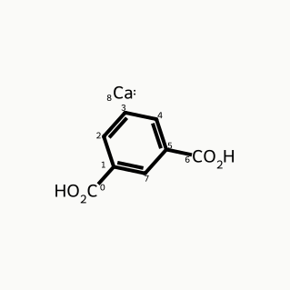 O=C(O)c1cccc(C(=O)O)c1.[Ca]